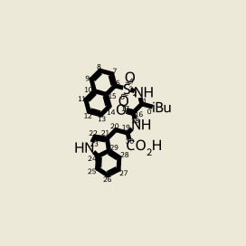 CCC(C)C(NS(=O)(=O)c1cccc2ccccc12)C(=O)NC(Cc1c[nH]c2ccccc12)C(=O)O